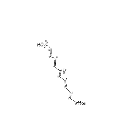 CCCCCCCCCC=CC=CC=CC=CC=CC(=O)O.[Li]